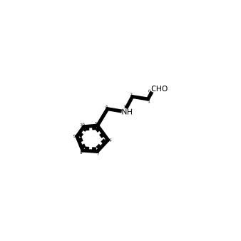 O=CCCNCc1ccccc1